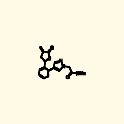 C=C1CC(c2ccccc2-c2cnn(CC(=O)NC)c2)OC1=O